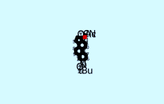 CC(=O)O[C@@]1(CC#N)CCC2C3CCC4=CC(=NOC(C)(C)C)CCC4=C3CC[C@@]21C